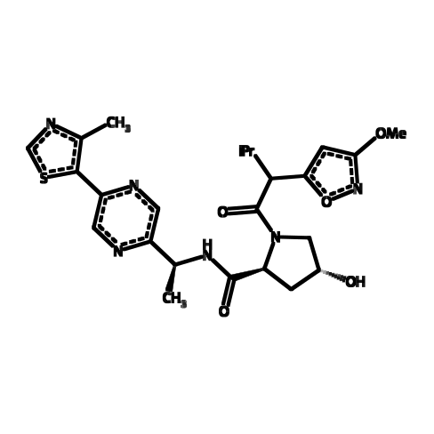 COc1cc(C(C(=O)N2C[C@H](O)C[C@H]2C(=O)N[C@@H](C)c2cnc(-c3scnc3C)cn2)C(C)C)on1